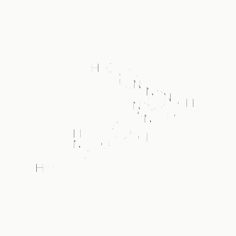 Cc1ccnc(Cn2c(-c3ccc(OCC(=O)NC4CC(O)C4)cc3Cl)nc3c(OC4(C)CC4)ncnc32)c1